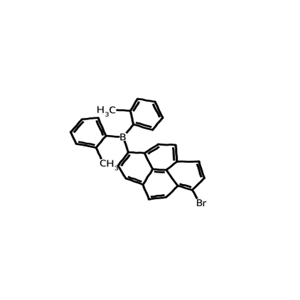 Cc1ccccc1B(c1ccccc1C)c1ccc2ccc3c(Br)ccc4ccc1c2c43